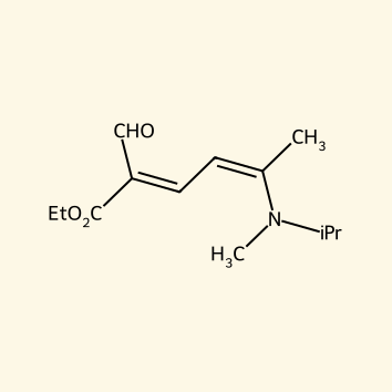 CCOC(=O)/C(C=O)=C/C=C(/C)N(C)C(C)C